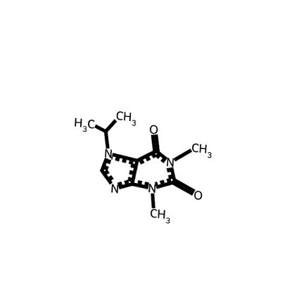 CC(C)n1cnc2c1c(=O)n(C)c(=O)n2C